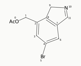 CC(=O)OCc1cc(Br)cc2c1CN=C2